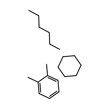 C1CCCCC1.CCCCCC.Cc1ccccc1C